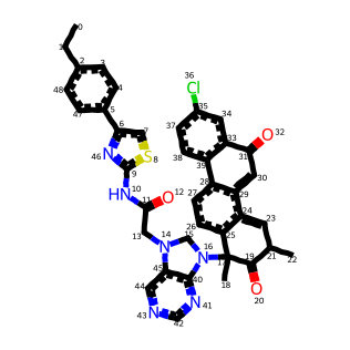 CCc1ccc(-c2csc(NC(=O)CN3CN(C4(C)C(=O)C(C)C=c5c4ccc4c5=CC(=O)c5cc(Cl)ccc5-4)c4ncncc43)n2)cc1